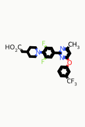 Cc1cc(Oc2cccc(C(F)(F)F)c2)nc(-c2cc(F)c(N3CCC(CC(=O)O)CC3)c(F)c2)n1